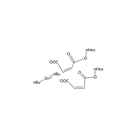 CCCCCCOC(=O)/C=C\C(=O)[O-].CCCCCCOC(=O)/C=C\C(=O)[O-].CCC[CH2][Sn+2][CH2]CCC